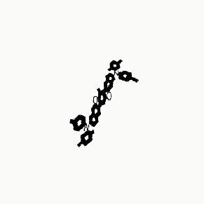 Cc1ccc(N(c2ccc3cc4c(cc3c2)oc2c(C)c3c(cc24)oc2cc4cc(N(c5ccc(C)cc5)c5cc(C)ccc5C)ccc4cc23)c2cc(C)ccc2C)cc1